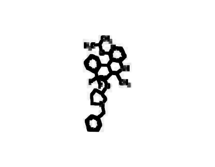 CC1=C(C(=O)OC2CCCN(Cc3ccccc3)C2)C(c2ccccc2C(F)(F)F)c2c(ccnc2OC(C)C)N1